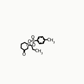 CCC[N+]1(OS(=O)(=O)c2ccc(C)cc2)CCCC(=O)C1